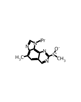 Cc1cc2cnc([S+](C)[O-])nc2c2c1ncn2C(C)C